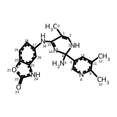 CC1=CNC(N)(c2cnc(C)c(C)c2)N=C1Nc1ccc2oc(=O)[nH]c2c1